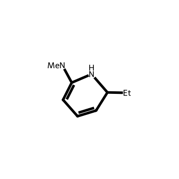 CCC1C=CC=C(NC)N1